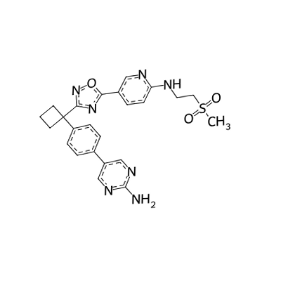 CS(=O)(=O)CCNc1ccc(-c2nc(C3(c4ccc(-c5cnc(N)nc5)cc4)CCC3)no2)cn1